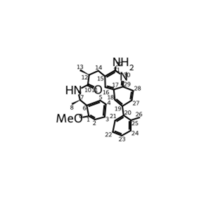 COc1ccccc1[C@@H](C)NC(=O)[C@@H](C)Cc1cc2cc(-c3ccccc3C)ccc2nc1N